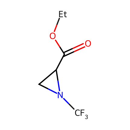 CCOC(=O)C1CN1C(F)(F)F